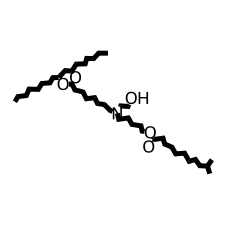 CCCCCCCCC(CCCCCCCC)OC(=O)CCCCCCCN(CCO)CCCCCOC(=O)CCCCCCCCC(C)C